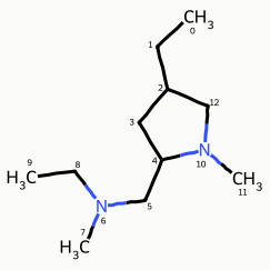 CCC1CC(CN(C)CC)N(C)C1